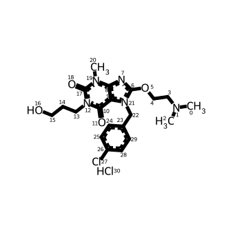 CN(C)CCOc1nc2c(c(=O)n(CCCO)c(=O)n2C)n1Cc1ccc(Cl)cc1.Cl